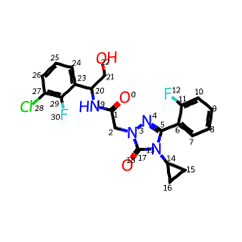 O=C(Cn1nc(-c2ccccc2F)n(C2CC2)c1=O)NC(CO)c1cccc(Cl)c1F